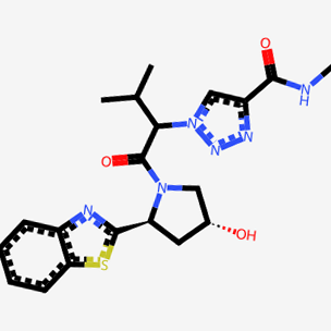 CNC(=O)c1cn(C(C(=O)N2C[C@H](O)C[C@H]2c2nc3ccccc3s2)C(C)C)nn1